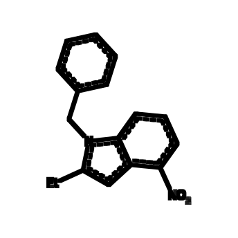 CCc1cc2c([N+](=O)[O-])cccc2n1Cc1ccccc1